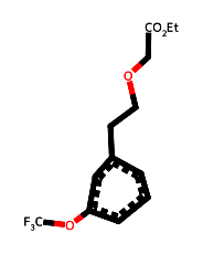 CCOC(=O)COCCc1cccc(OC(F)(F)F)c1